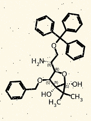 CC1(C)[C@]2(O)O[C@H]([C@H](N)COC(c3ccccc3)(c3ccccc3)c3ccccc3)[C@H](OCc3ccccc3)[C@]12O